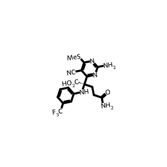 CSc1nc(N)nc([C@@](CCC(N)=O)(Nc2cccc(C(F)(F)F)c2)C(=O)O)c1C#N